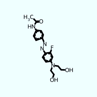 CC(=O)Nc1ccc(N=Nc2ccc(N(CCO)CCO)cc2F)cc1